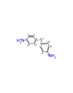 Nc1c#cc(Sc2ccc(N)cc2)cc1